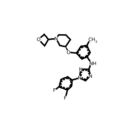 Cc1cc(Nc2ncn(-c3ccc(F)c(F)c3)n2)cc(O[C@@H]2CCCN(C3COC3)C2)c1